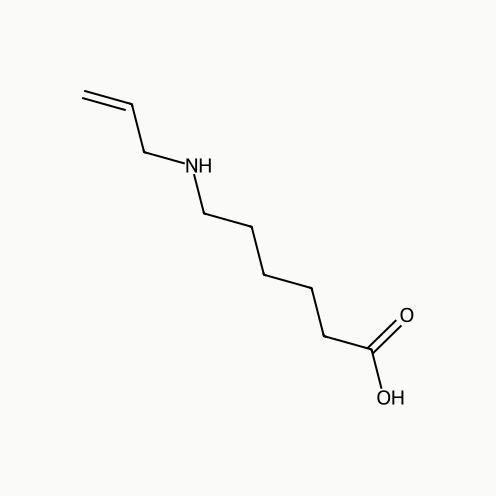 C=CCNCCCCCC(=O)O